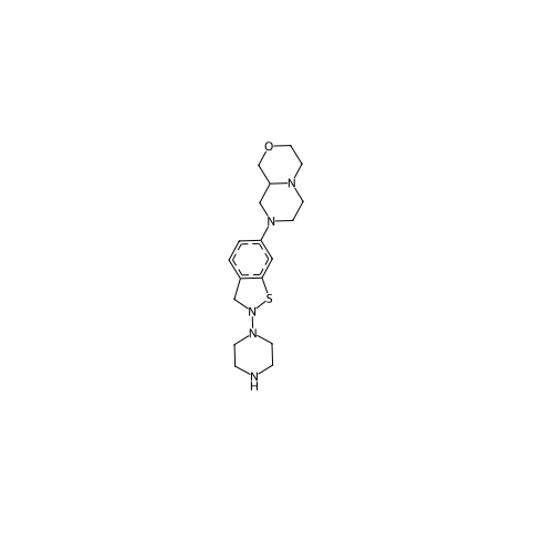 c1cc2c(cc1N1CCN3CCOCC3C1)SN(N1CCNCC1)C2